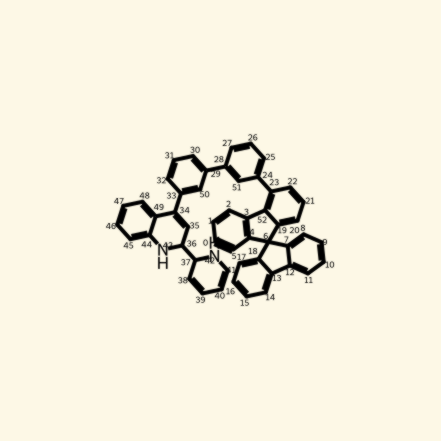 c1ccc2c(c#1)C1(c3ccccc3-c3ccccc31)c1cccc(-c3cccc(-c4cccc(C5=CC(C6C=CC=CN6)Nc6ccccc65)c4)c3)c1-2